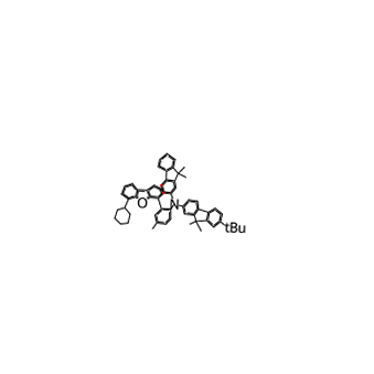 Cc1ccc(N(c2ccc3c(c2)C(C)(C)c2ccccc2-3)c2ccc3c(c2)C(C)(C)c2cc(C(C)(C)C)ccc2-3)c(-c2c#ccc3c2oc2c(C4CCCCC4)cccc23)c1